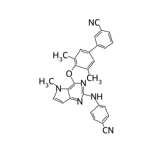 Cc1cc(-c2cccc(C#N)c2)cc(C)c1Oc1nc(Nc2ccc(C#N)cc2)nc2ccn(C)c12